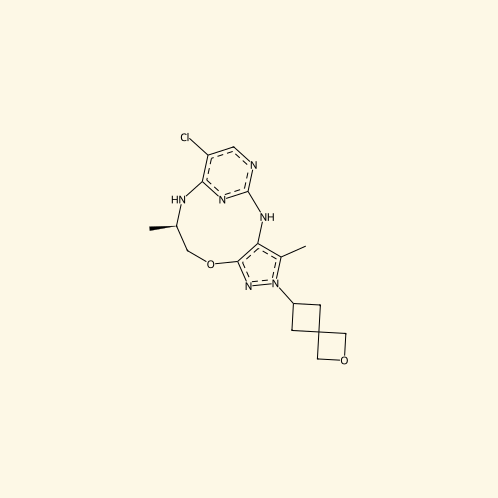 Cc1c2c(nn1C1CC3(COC3)C1)OC[C@@H](C)Nc1nc(ncc1Cl)N2